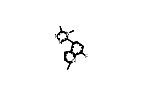 Cc1ccc2c(-c3nnc(C)n3C)ccc(F)c2n1